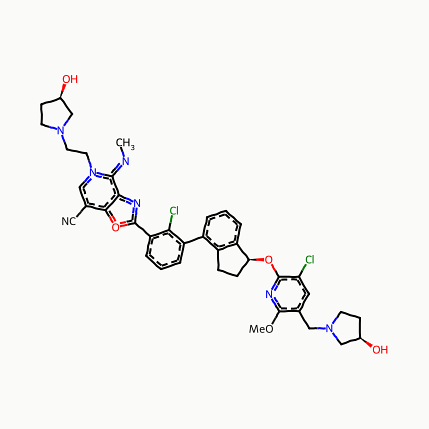 C/N=c1/c2nc(-c3cccc(-c4cccc5c4CC[C@@H]5Oc4nc(OC)c(CN5CC[C@@H](O)C5)cc4Cl)c3Cl)oc2c(C#N)cn1CCN1CC[C@@H](O)C1